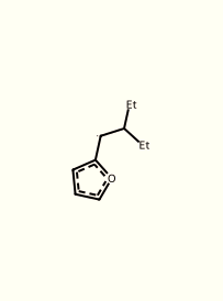 CCC([CH]c1ccco1)CC